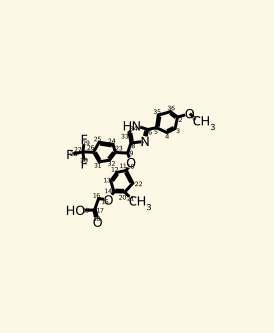 COc1ccc(-c2nc(C(Oc3ccc(OCC(=O)O)c(C)c3)c3ccc(C(F)(F)F)cc3)c[nH]2)cc1